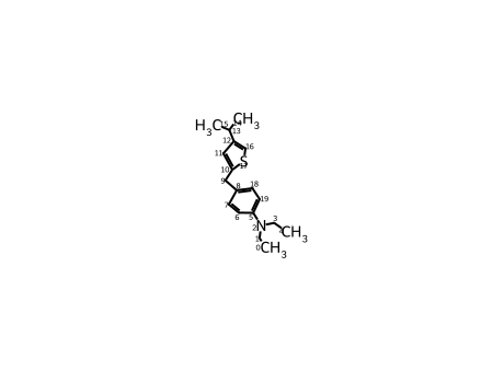 CCN(CC)c1ccc(Cc2cc(C(C)C)cs2)cc1